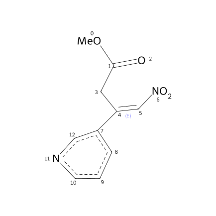 COC(=O)C/C(=C\[N+](=O)[O-])c1cccnc1